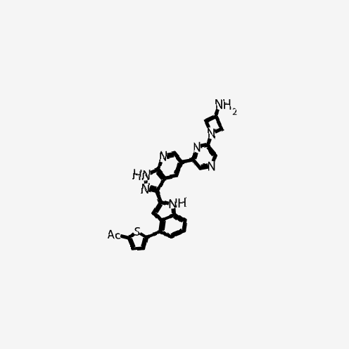 CC(=O)c1ccc(-c2cccc3[nH]c(-c4n[nH]c5ncc(-c6cncc(N7CC(N)C7)n6)cc45)cc23)s1